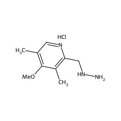 COc1c(C)cnc(CNN)c1C.Cl